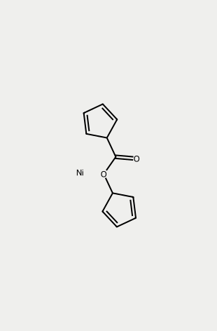 O=C(OC1C=CC=C1)C1C=CC=C1.[Ni]